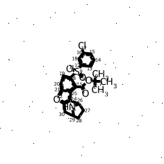 CC(C)(C)OC(=O)c1c(S(=O)(=O)c2cccc(Cl)c2)ccc2oc3c(c12)C1CCC(C3)N1